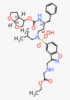 CCOC(=O)CNCc1noc2ccc(S(=O)(=O)N(CC(C)C)C[C@@H](O)[C@H](Cc3ccccc3)NC(=O)OC3CO[C@H]4OCC[C@@H]34)cc12